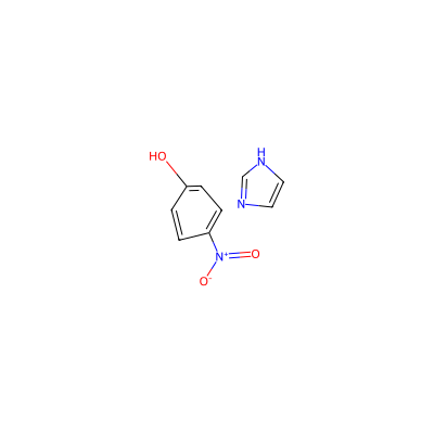 O=[N+]([O-])c1ccc(O)cc1.c1c[nH]cn1